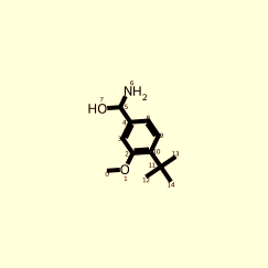 COc1cc(C(N)O)ccc1C(C)(C)C